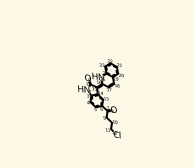 O=C1Nc2ccc(C(=O)CCCCl)cc2C1=C1C=Cc2ccccc2N1